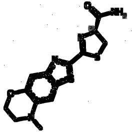 CN1CCOc2cc3nc(C4=N[C@@H](C(N)=O)CS4)sc3cc21